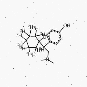 [2H]C(CN(C)C)(c1ccc(O)cc1)C1(O)C([2H])([2H])C([2H])([2H])C([2H])([2H])C([2H])([2H])C1([2H])[2H]